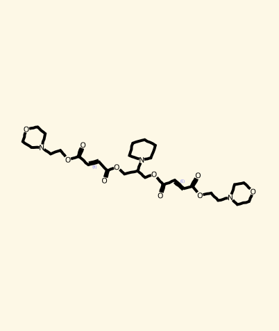 O=C(/C=C/C(=O)OCC(COC(=O)/C=C/C(=O)OCCN1CCOCC1)N1CCCCC1)OCCN1CCOCC1